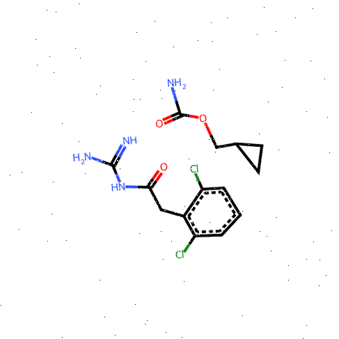 N=C(N)NC(=O)Cc1c(Cl)cccc1Cl.NC(=O)OCC1CC1